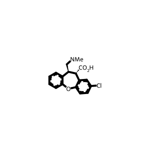 CNC[C@@H]1c2ccccc2Oc2ccc(Cl)cc2[C@H]1C(=O)O